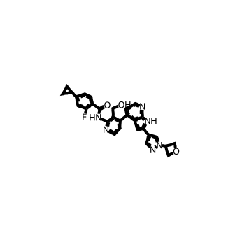 O=C(Nc1nccc(-c2ccnc3[nH]c(-c4cnn(C5COC5)c4)cc23)c1CO)c1ccc(C2CC2)cc1F